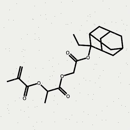 C=C(C)C(=O)OC(C)C(=O)OCC(=O)OC1(CC)C2CC3CC(C2)CC1C3